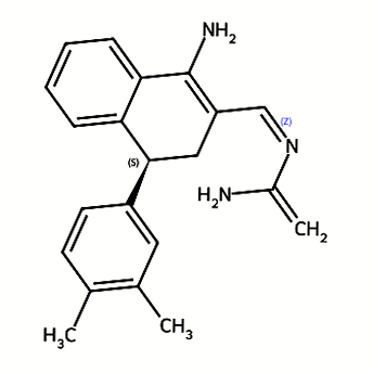 C=C(N)/N=C\C1=C(N)c2ccccc2[C@H](c2ccc(C)c(C)c2)C1